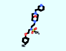 CS(=O)(=O)N(CCOc1ccc(C#N)cc1)CCN1CC2CN(Cc3cccnc3)CC(C1)O2